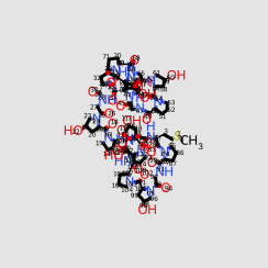 CSCC[C@H](NC(=O)CNC(=O)[C@@H]1CCCN1C(=O)[C@@H]1C[C@@H](O)CN1C(=O)CNC(=O)[C@@H]1CCCN1C(=O)[C@@H]1C[C@@H](O)CN1C(=O)CNC(=O)[C@@H]1CCCN1C(=O)[C@@H]1C[C@@H](O)CN1C(=O)CNC(=O)[C@@H]1CCCN1C(=O)[C@@H]1C[C@@H](O)CN1)C(=O)N1CCC[C@H]1C(=O)NCC(=O)N1C[C@H](O)C[C@H]1C(=O)N1CCC[C@H]1C(=O)NCC(=O)N1C[C@H](O)C[C@H]1C(=O)N1CCC[C@H]1C(=O)O